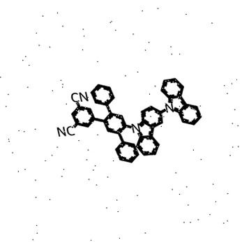 N#Cc1cc(C#N)cc(-c2cc(-c3ccccc3)c(-n3c4ccccc4c4cc(-n5c6ccccc6c6ccccc65)ccc43)cc2-c2ccccc2)c1